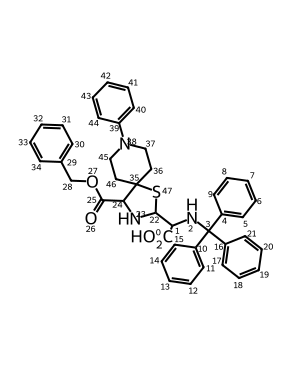 O=C(O)C(NC(c1ccccc1)(c1ccccc1)c1ccccc1)C1NC(C(=O)OCc2ccccc2)C2(CCN(c3ccccc3)CC2)S1